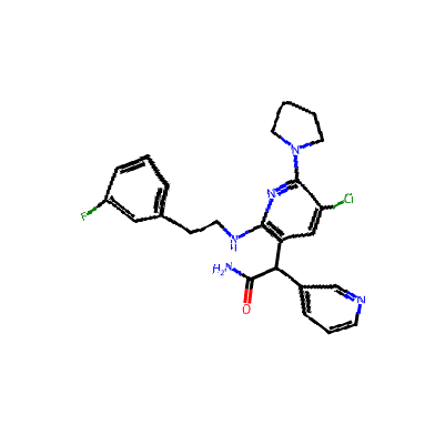 NC(=O)C(c1cccnc1)c1cc(Cl)c(N2CCCC2)nc1NCCc1cccc(F)c1